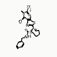 Cn1c(C(F)(F)F)nc2sc(N3CCC[C@@H]3C(=O)NCc3ccccc3)nc2c1=O